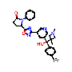 CC(C)c1ccc(C(O)(c2cncc(-c3noc(C4CCC(=O)N4c4ccccc4)n3)c2)C2(C)CN(C)C2)cc1